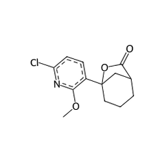 COc1nc(Cl)ccc1C12CCCC(C1)C(=O)O2